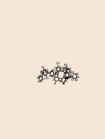 Cc1ccc2c(c1)-c1ccccc1C1(c3ccccc3-c3cc(C)ccc3N2c2ccc(-c3nc(C)nc(-c4ccccc4)c3C)cc2)c2cc(C)ccc2N(c2ccccc2)c2ccc(C)cc21